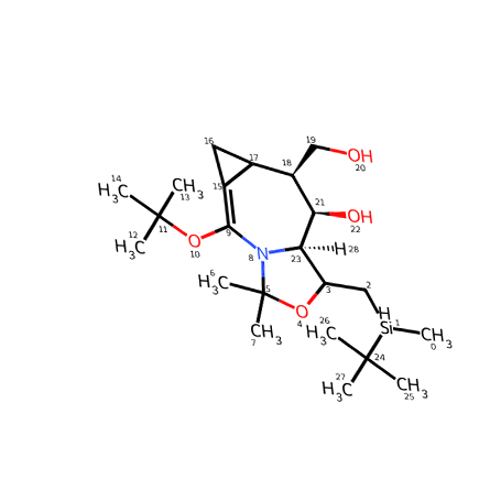 C[SiH](CC1OC(C)(C)N2C(OC(C)(C)C)=C3CC3[C@@H](CO)[C@@H](O)[C@@H]12)C(C)(C)C